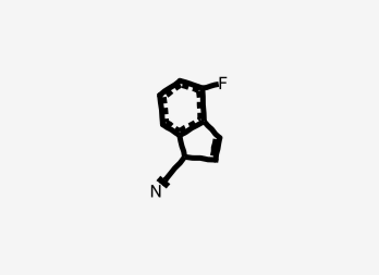 N#CC1C=Cc2c(F)cccc21